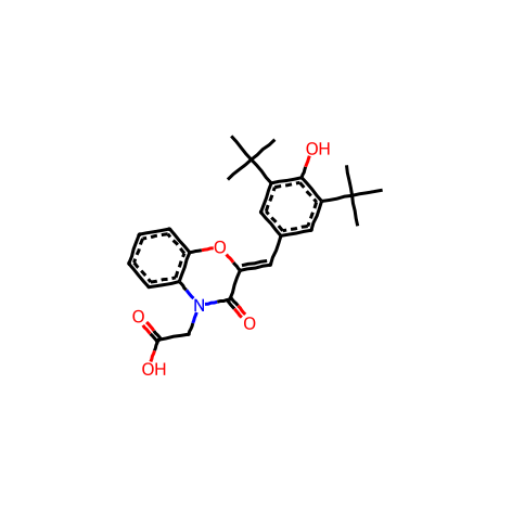 CC(C)(C)c1cc(/C=C2\Oc3ccccc3N(CC(=O)O)C2=O)cc(C(C)(C)C)c1O